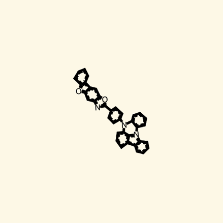 c1ccc2c(c1)N(c1ccc(-c3nc4cc5oc6ccccc6c5cc4o3)cc1)c1cccc3c4ccccc4n-2c13